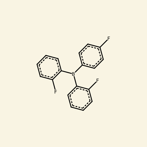 Fc1ccc(B(c2ccccc2F)c2ccccc2F)cc1